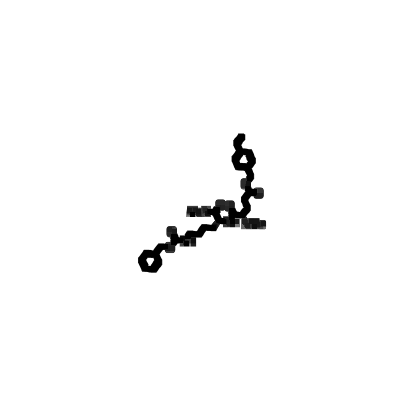 C=Cc1ccc(COC(=O)CC[C@H](NC)C(=O)N[C@@H](CCCCNC(=O)OCc2ccccc2)C(=O)NC)cc1